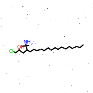 CCCCCCCCCCCCCCCCC(CC(O)CCl)C(C)(C)N